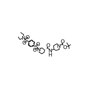 CCN(CC)S(=O)(=O)c1ccc(S(=O)(=O)N2CCC[C@@H](C(=O)NC3CCN(C(=O)OC(C)(C)C)CC3)C2)cc1